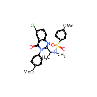 COc1ccc(-n2c(C(C)N(C)S(=O)(=O)c3ccc(OC)cc3)nc3ccc(Cl)cc3c2=O)cc1